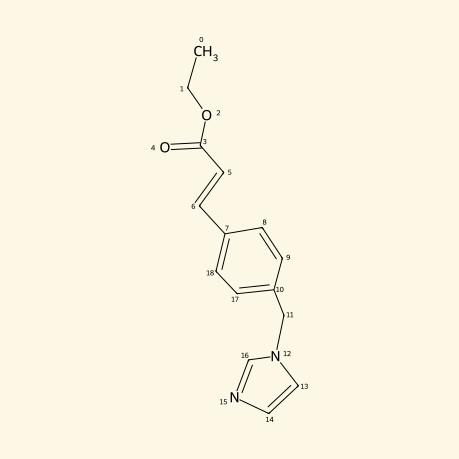 CCOC(=O)C=Cc1ccc(Cn2ccnc2)cc1